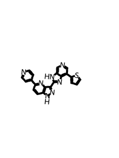 c1csc(-c2cncc3[nH]c(-c4n[nH]c5ccc(-c6ccncc6)nc45)nc23)c1